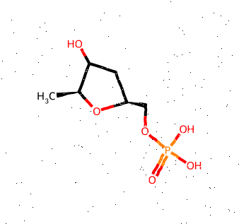 C[C@@H]1O[C@H](COP(=O)(O)O)CC1O